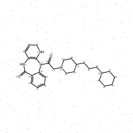 O=C1NC2=C(NCC=C2)N(C(=O)CN2CCC(CCCN3CCCCC3)CC2)c2ccccc21